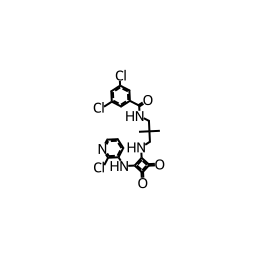 CC(C)(CNC(=O)c1cc(Cl)cc(Cl)c1)CNc1c(Nc2cccnc2Cl)c(=O)c1=O